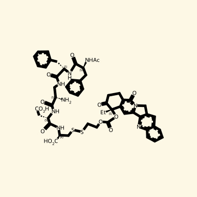 CC[C@@]1(OC(=O)OCCSSC[C@H](NC(=O)[C@H](CC(=O)O)NC(=O)[C@@H](N)CNC(=O)[C@H](Cc2ccccc2)NC(=O)[C@H](Cc2ccccc2)NC(C)=O)C(=O)O)C(=O)CCc2c1cc1n(c2=O)Cc2cc3ccccc3nc2-1